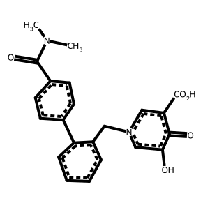 CN(C)C(=O)c1ccc(-c2ccccc2Cn2cc(O)c(=O)c(C(=O)O)c2)cc1